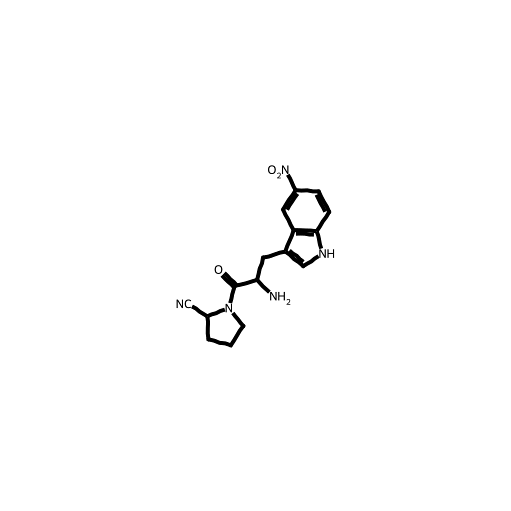 N#CC1CCCN1C(=O)C(N)Cc1c[nH]c2ccc([N+](=O)[O-])cc12